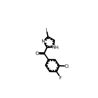 O=C(c1ccc(F)c(Cl)c1)c1nc(I)c[nH]1